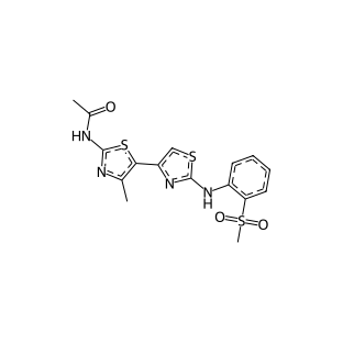 CC(=O)Nc1nc(C)c(-c2csc(Nc3ccccc3S(C)(=O)=O)n2)s1